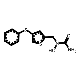 NC(=O)N(O)Cc1cc(Sc2ccccc2)cs1